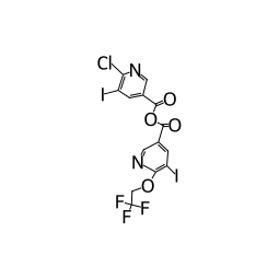 O=C(OC(=O)c1cnc(OCC(F)(F)F)c(I)c1)c1cnc(Cl)c(I)c1